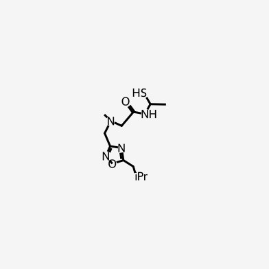 CC(C)Cc1nc(CN(C)CC(=O)NC(C)S)no1